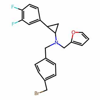 Fc1ccc(C2CC2N(Cc2ccc(CBr)cc2)Cc2ccco2)cc1F